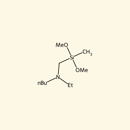 CCCCN(CC)C[Si](C)(OC)OC